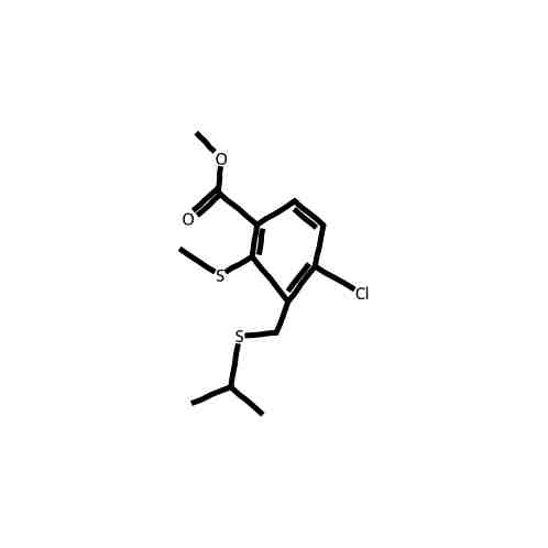 COC(=O)c1ccc(Cl)c(CSC(C)C)c1SC